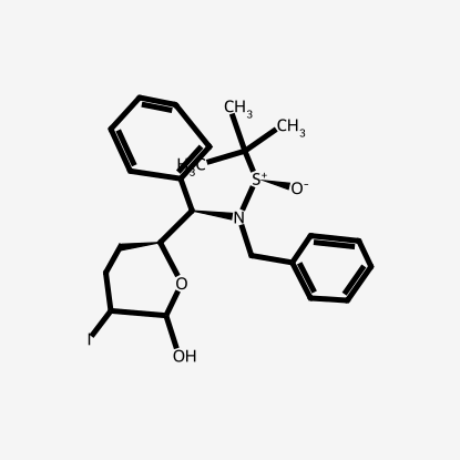 CC(C)(C)[S@@+]([O-])N(Cc1ccccc1)[C@H](c1ccccc1)[C@@H]1CCC(I)C(O)O1